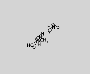 C[C@@H](NC(=O)c1ccc(C(=O)O)cc1)C(=O)N1CCN(CCCOc2ccc(-c3noc(CC4CCCC4)n3)c(F)c2)CC1